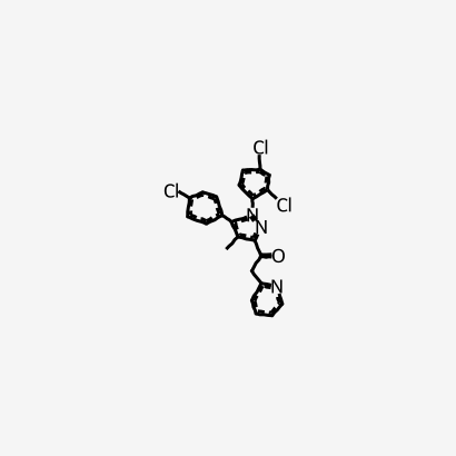 Cc1c(C(=O)Cc2ccccn2)nn(-c2ccc(Cl)cc2Cl)c1-c1ccc(Cl)cc1